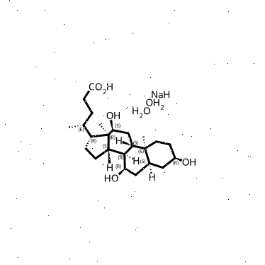 C[C@H](CCC(=O)O)[C@H]1CC[C@H]2[C@@H]3[C@H](O)C[C@@H]4C[C@H](O)CC[C@]4(C)[C@H]3C[C@H](O)[C@]12C.O.O.[NaH]